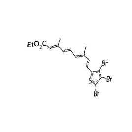 CCOC(=O)/C=C(\C)C=CC=C(C)C=Cc1sc(Br)c(Br)c1Br